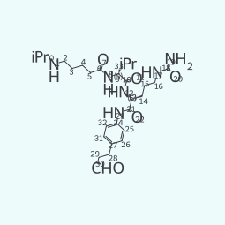 CC(C)NCCCCC(=O)N[C@H](C(=O)N[C@@H](CCCNC(N)=O)C(=O)Nc1ccc(CCC=O)cc1)C(C)C